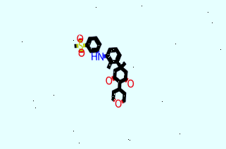 Cc1c(Nc2cccc(S(C)(=O)=O)c2)cccc1C1(C)CC(=O)C(C2CCOCC2)C(=O)C1